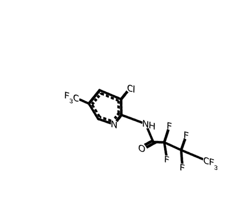 O=C(Nc1ncc(C(F)(F)F)cc1Cl)C(F)(F)C(F)(F)C(F)(F)F